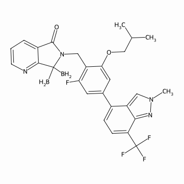 BC1(B)c2ncccc2C(=O)N1Cc1c(F)cc(-c2ccc(C(F)(F)F)c3nn(C)cc23)cc1OCC(C)C